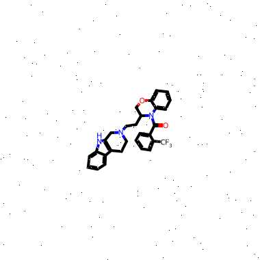 O=C(c1ccccc1C(F)(F)F)N1c2ccccc2OCC1CCN1CCc2c([nH]c3ccccc23)C1